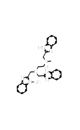 CCCn1c(CN(CCN(C)Cc2nc3ccccc3[nH]2)Cc2nc3ccccc3[nH]2)nc2ccccc21